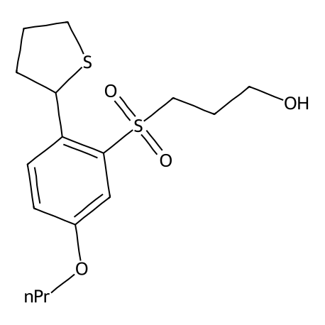 CCCOc1ccc(C2CCCS2)c(S(=O)(=O)CCCO)c1